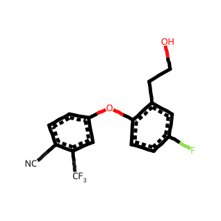 N#Cc1ccc(Oc2ccc(F)cc2CCO)cc1C(F)(F)F